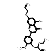 C=CCOc1cc(O)c2c(=O)cc(-c3ccc(OC)c(OC(C=O)OCC)c3)oc2c1